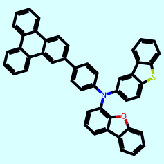 c1ccc2c(c1)oc1c(N(c3ccc(-c4ccc5c6ccccc6c6ccccc6c5c4)cc3)c3ccc4sc5ccccc5c4c3)cccc12